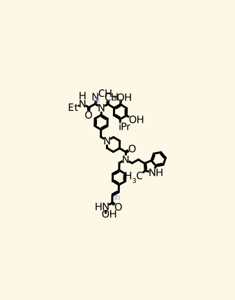 C=C(c1cc(C(C)C)c(O)cc1O)N(/C(=N\C)C(=O)NCC)c1ccc(CN2CCC(C(=O)N(CCc3c(C)[nH]c4ccccc34)Cc3ccc(/C=C/C(=O)NO)cc3)CC2)cc1